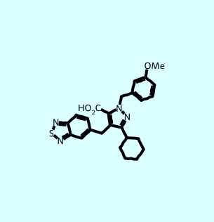 COc1cccc(Cn2nc(C3CCCCC3)c(Cc3ccc4nsnc4c3)c2C(=O)O)c1